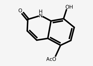 CC(=O)Oc1ccc(O)c2[nH]c(=O)ccc12